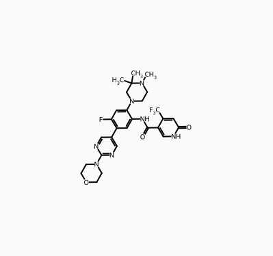 CN1CCN(c2cc(F)c(-c3cnc(N4CCOCC4)nc3)cc2NC(=O)c2c[nH]c(=O)cc2C(F)(F)F)CC1(C)C